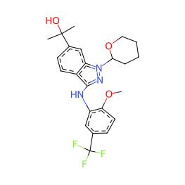 COc1ccc(C(F)(F)F)cc1Nc1nn(C2CCCCO2)c2cc(C(C)(C)O)ccc12